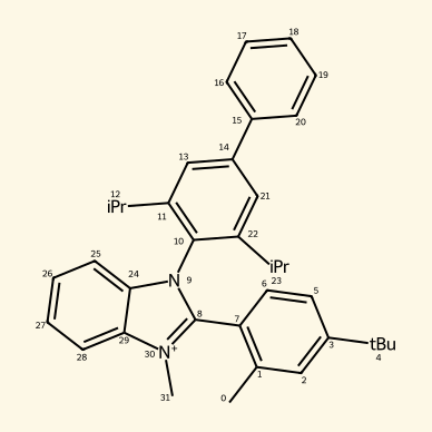 Cc1cc(C(C)(C)C)ccc1-c1n(-c2c(C(C)C)cc(-c3ccccc3)cc2C(C)C)c2ccccc2[n+]1C